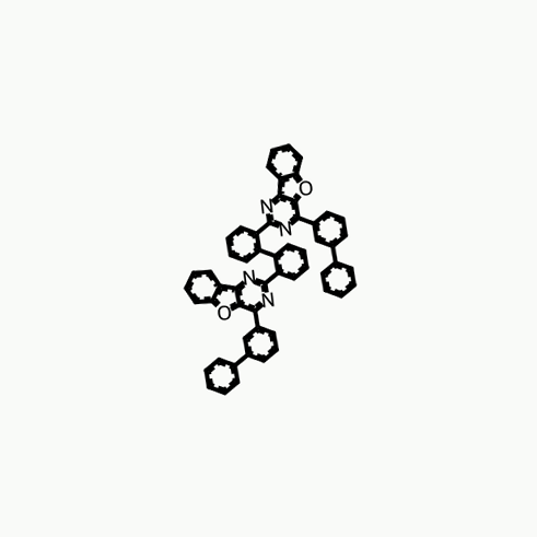 c1ccc(-c2cccc(-c3nc(-c4ccccc4-c4ccccc4-c4nc(-c5cccc(-c6ccccc6)c5)c5oc6ccccc6c5n4)nc4c3oc3ccccc34)c2)cc1